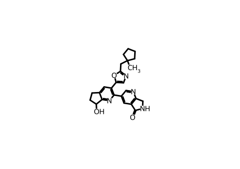 CC1(Cc2ncc(-c3cc4c(nc3-c3cnc5c(c3)C(=O)NC5)C(O)CC4)o2)CCCC1